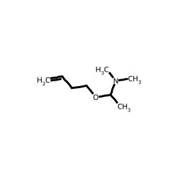 C=CCCOC(C)N(C)C